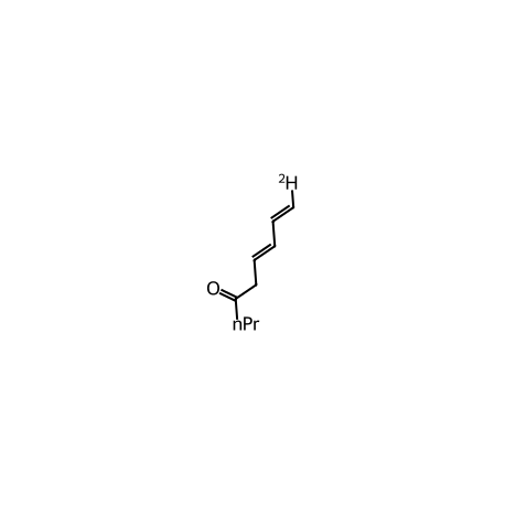 [2H]/C=C/C=CCC(=O)CCC